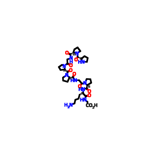 NCCCC[C@H](NC(=O)[C@@H]1CCCN1C(=O)CNC(=O)[C@@H]1CCCN1C(=O)[C@@H]1CCCN1C(=O)CNC(=O)[C@@H]1CCCN1C(=O)[C@@H]1CCCN1)C(=O)NCC(=O)O